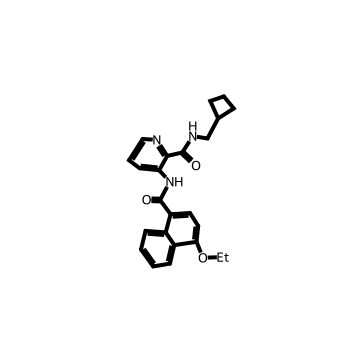 CCOc1ccc(C(=O)Nc2cccnc2C(=O)NCC2CCC2)c2ccccc12